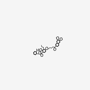 CCCc1c(OCCCCC(=O)c2ccc3cc(OC)c(OC)cc3c2)ccc(C(=O)OCc2ccccc2)c1O